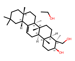 CC1(C)CC[C@]2(C)CC[C@]3(C)C(=CC[C@@H]4[C@@]5(C)CC[C@H](O)[C@](C)(CO)[C@@H]5CC[C@]43C)[C@@H]2C1.CCO